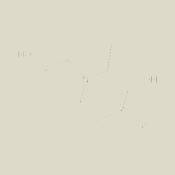 Cc1c(O)c(=O)ccn1CCO